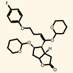 O=C1C[C@@H]2C(C[C@@H](OC3CCCCO3)[C@H]2/C(=C\CCOc2ccc(F)cc2)OC2CCCCO2)O1